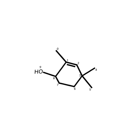 CC1=CC(C)(C)CCC1O